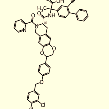 CC(NC(=O)[C@@H]1Cc2cc3c(cc2CN1C(=O)c1ccccn1)OC(c1ccc(OCc2ccc(Cl)c(Cl)c2)cc1)CO3)(C(=O)O)c1ccc(-c2ccccc2)c(C#N)c1